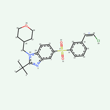 CC(C)(C)c1nc2cc(S(=O)(=O)c3cccc(/C=C\Cl)c3)ccc2n1CC1CCOCC1